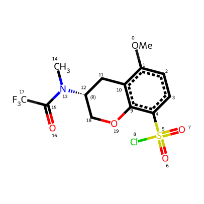 COc1ccc(S(=O)(=O)Cl)c2c1C[C@@H](N(C)C(=O)C(F)(F)F)CO2